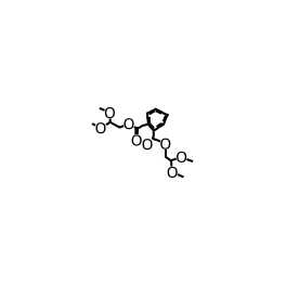 COC(COC(=O)c1ccccc1C(=O)OCC(OC)OC)OC